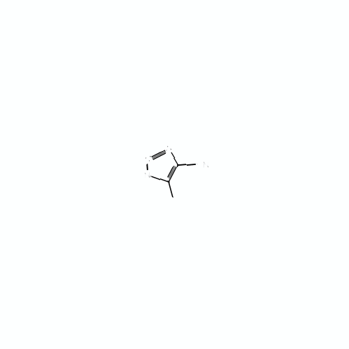 N#Cc1nn[nH]c1I